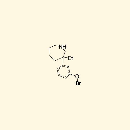 CCC1(c2cccc(OBr)c2)CCCCNC1